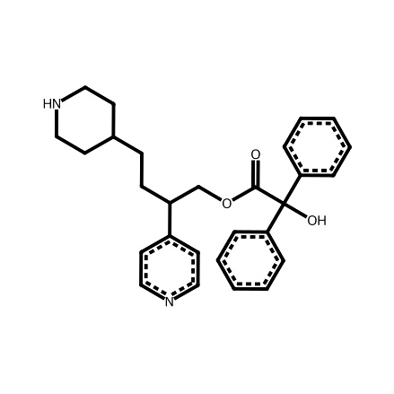 O=C(OCC(CCC1CCNCC1)c1ccncc1)C(O)(c1ccccc1)c1ccccc1